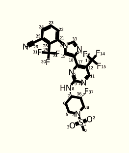 CS(=O)(=O)N1CC[C@H](Nc2ncc(C(F)(F)F)c(-c3cn(-c4cccc(C#N)c4C(F)(F)F)cn3)n2)[C@H](F)C1